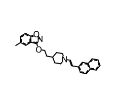 Cc1ccc2onc(OCCC3CCN(C=Cc4ccc5ccccc5c4)CC3)c2c1